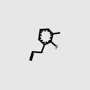 C=C[CH]c1cccc(C)c1F